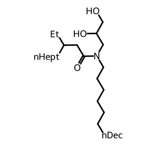 CCCCCCCCCCCCCCCCN(CC(O)CO)C(=O)CC(CC)CCCCCCC